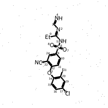 CC/C(=N\C=N)NS(=O)(=O)c1ccc(Oc2ccc(Cl)cc2I)c(C#N)c1